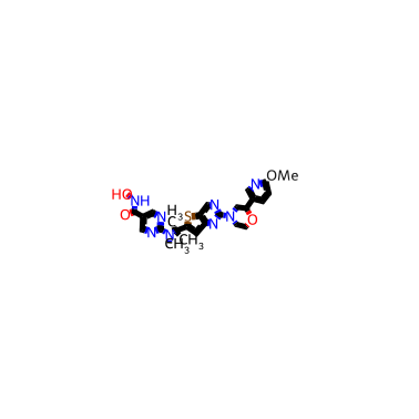 COc1ccc(C2CN(c3ncc4sc(C(C)(C)N(C)c5ncc(C(=O)NO)cn5)cc4n3)CCO2)cn1